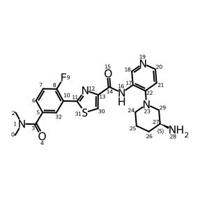 CN(C)C(=O)c1ccc(F)c(-c2nc(C(=O)Nc3cnccc3N3CCC[C@H](N)C3)cs2)c1